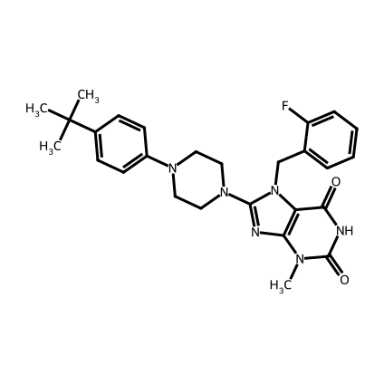 Cn1c(=O)[nH]c(=O)c2c1nc(N1CCN(c3ccc(C(C)(C)C)cc3)CC1)n2Cc1ccccc1F